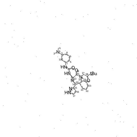 CN(C)c1cccc(NC(=O)N[C@@H]2N=C(c3cc[nH]n3)c3ccccc3N(CC(=O)C(C)(C)C)C2=O)c1